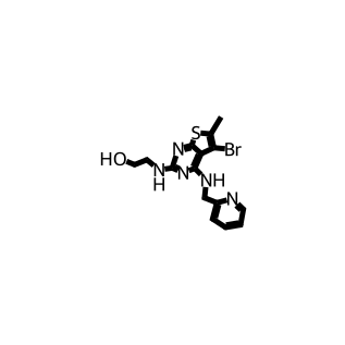 Cc1sc2nc(NCCO)nc(NCc3ccccn3)c2c1Br